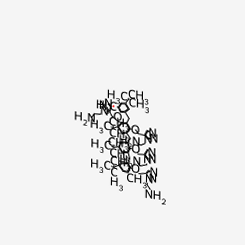 Cc1cc(C(C)(C)C)cc(Cc2cc(C(C)(C)C)cc(Cc3cc(C(C)(C)C)cc(Cc4cc(C(C)(C)C)cc(C)c4OCc4cnnn4CCN)c3OCc3cnnn3CCN)c2OCc2cnnn2CCN)c1OCc1cnnn1CCN